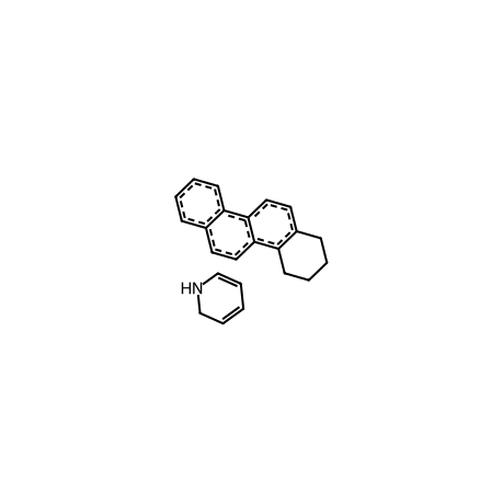 C1=CCNC=C1.c1ccc2c(c1)ccc1c3c(ccc12)CCCC3